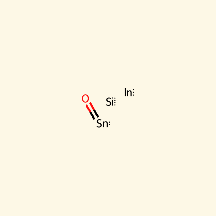 [In].[O]=[Sn].[Si]